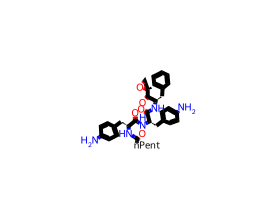 CCCCCC(=O)N[C@H](Cc1ccc(N)cc1)C(=O)N[C@@H](Cc1ccc(N)cc1)C(=O)N[C@@H](Cc1ccccc1)C(=O)[C@@]1(C)CO1